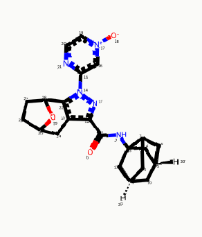 O=C(NC12C[C@@H]3CC1C[C@@H](C3)C2)c1nn(-c2c[n+]([O-])ccn2)c2c1CC1CCC2O1